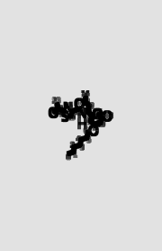 CCCCCCCOc1cc(C(CCC)NC(=O)C2CSC(C(C)=O)=N2)oc(=O)c1